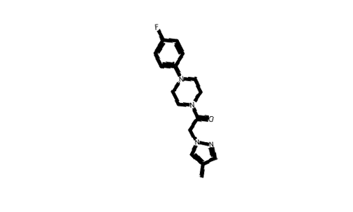 Cc1cnn(CC(=O)N2CCN(c3ccc(F)cc3)CC2)c1